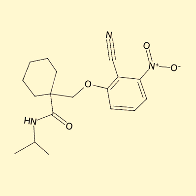 CC(C)NC(=O)C1(COc2cccc([N+](=O)[O-])c2C#N)CCCCC1